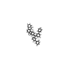 CC1(C)c2ccccc2-c2ccc3oc4cc(N(c5cccc(-c6ccccc6)c5)c5cccc(-c6ccccc6)c5)ccc4c3c21